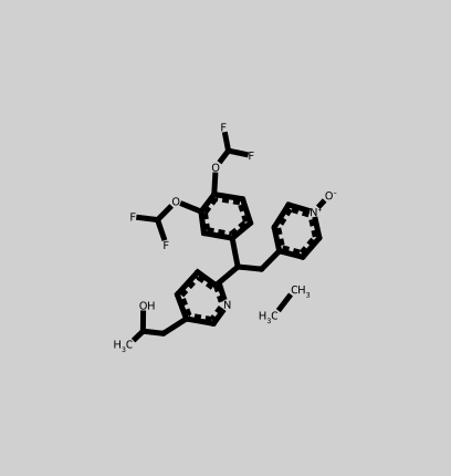 CC.CC(O)Cc1ccc(C(Cc2cc[n+]([O-])cc2)c2ccc(OC(F)F)c(OC(F)F)c2)nc1